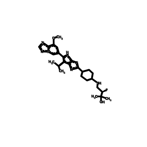 COc1cc(-c2[nH]c3sc(C4CCC(NC[C@@H](F)C(C)(C)O)CC4)nc3c2C(C)C)cn2ncnc12